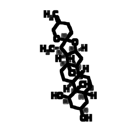 C=C1CC[C@@]2(OC1)O[C@H]1C[C@H]3[C@@H]4CC[C@@H]5C[C@@H](O)C[C@@H](O)[C@]5(C)[C@H]4CC[C@]3(C)[C@H]1[C@@H]2C